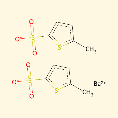 Cc1ccc(S(=O)(=O)[O-])s1.Cc1ccc(S(=O)(=O)[O-])s1.[Ba+2]